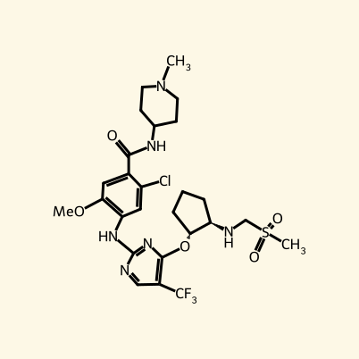 COc1cc(C(=O)NC2CCN(C)CC2)c(Cl)cc1Nc1ncc(C(F)(F)F)c(O[C@@H]2CCC[C@H]2NCS(C)(=O)=O)n1